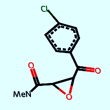 CNC(=O)C1OC1C(=O)c1ccc(Cl)cc1